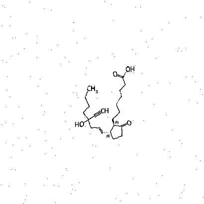 C#CC(O)(CC=C[C@H]1CCC(=O)[C@@H]1CCCCCCC(=O)O)CCCC